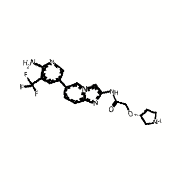 Nc1ncc(-c2ccc3nc(NC(=O)CO[C@@H]4CCNC4)cn3c2)cc1C(F)(F)F